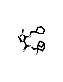 Cn1ncc(C(=O)NC[C@H]2CCC3CC2C3)c1OCC1CCCCC1